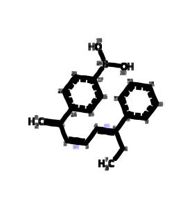 C=C(/C=C\C=C(/CC)c1ccccc1)c1ccc(B(O)O)cc1